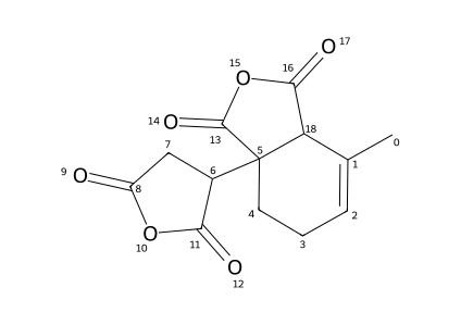 CC1=CCCC2(C3CC(=O)OC3=O)C(=O)OC(=O)C12